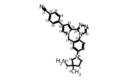 CC1(CN)CCN(c2ccc3c(c2)Cn2cc(-c4ccc(C#N)cc4)cc2-c2nncn2-3)C1